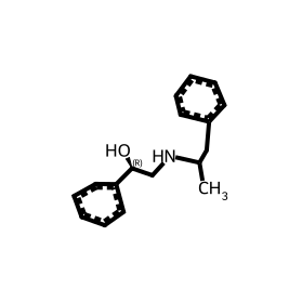 CC(Cc1ccccc1)NC[C@H](O)c1ccccc1